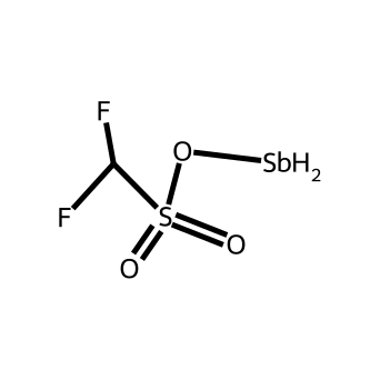 O=S(=O)([O][SbH2])C(F)F